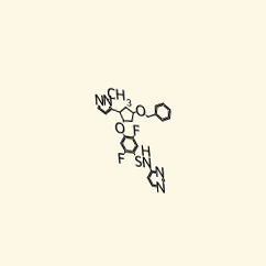 Cn1nccc1C1CC(OCc2ccccc2)C[C@@H]1Oc1cc(F)c(SNc2ccncn2)cc1F